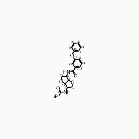 CC(C)C(=O)NC1COC2C(NC(=O)c3cccc(Oc4ccccc4)c3)COC12